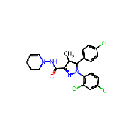 CC1C(C(=O)NN2C=CCCC2)=NN(c2ccc(Cl)cc2Cl)C1c1ccc(Cl)cc1